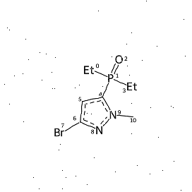 CCP(=O)(CC)c1cc(Br)nn1C